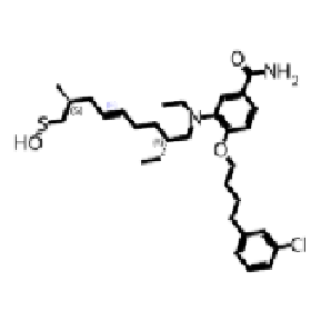 CC[C@H](CC/C=C/C[C@H](C)CSO)CN(CC)c1cc(C(N)=O)ccc1OCCCCc1cccc(Cl)c1